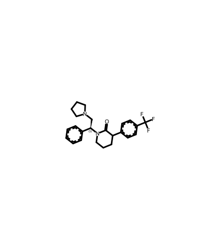 O=C1C(c2ccc(C(F)(F)F)cc2)CCCN1[C@H](CN1CCCC1)c1ccccc1